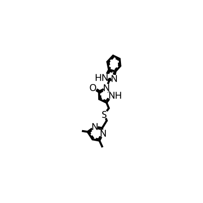 Cc1cc(C)nc(CSCc2cc(=O)n(-c3nc4ccccc4[nH]3)[nH]2)n1